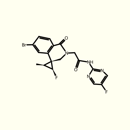 C[C@@H]1[C@H](F)[C@]12CN(CC(=O)Nc1ncc(F)cn1)C(=O)c1ccc(Br)cc12